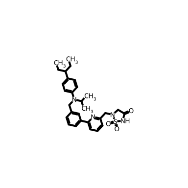 CCC(CC)c1ccc(N(Cc2cccc(-c3cccc(CN4CC(=O)NS4(=O)=O)n3)c2)C(C)C)cc1